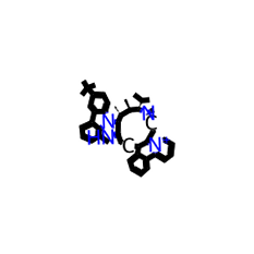 Cc1cccc2c3cc(C(C)(C)C)ccc3n(C3C(=N)CCC4c5ccccc5-c5cccc[n+]5C4CCN(C)[C@@H](C(C)C)[C@H](C)[C@H]3C)c12